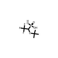 CC(C)(C)OC(C(F)(F)F)P(=O)(O)O